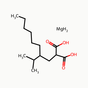 CCCCCCC(CC(C(=O)O)C(=O)O)C(C)C.[MgH2]